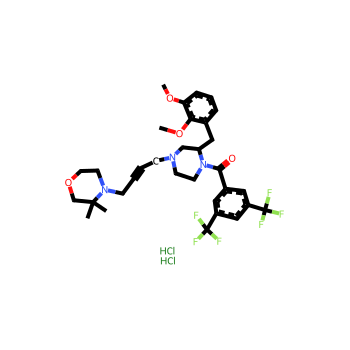 COc1cccc(CC2CN(CC#CCN3CCOCC3(C)C)CCN2C(=O)c2cc(C(F)(F)F)cc(C(F)(F)F)c2)c1OC.Cl.Cl